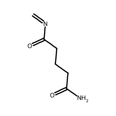 C=NC(=O)CCCC(N)=O